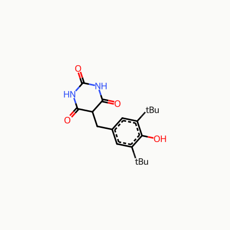 CC(C)(C)c1cc(CC2C(=O)NC(=O)NC2=O)cc(C(C)(C)C)c1O